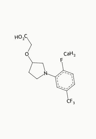 O=C(O)COC1CCN(c2cc(C(F)(F)F)ccc2F)C1.[CaH2]